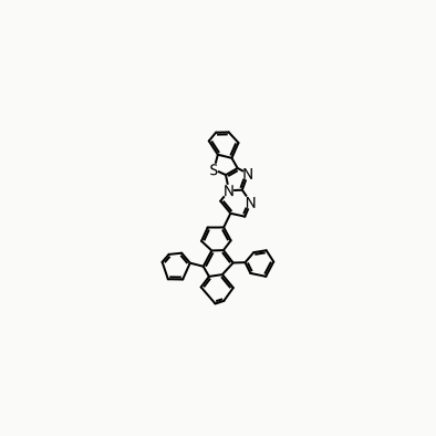 c1ccc(-c2c3ccccc3c(-c3ccccc3)c3cc(-c4cnc5nc6c7ccccc7sc6n5c4)ccc23)cc1